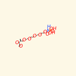 C=C(COCCOCCOCCOCCOC(=O)NP(=O)(O)O)C(=O)C1CO1